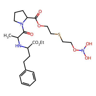 CCOC(=O)C(CCc1ccccc1)NC(C)C(=O)N1CCCC1C(=O)OCCSCCON(O)O